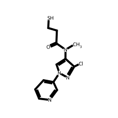 CN(C(=O)CCS)c1cn(-c2cccnc2)nc1Cl